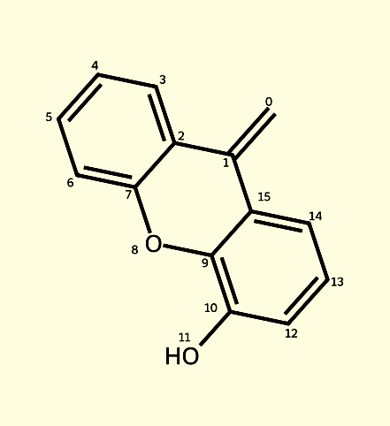 C=C1c2ccccc2Oc2c(O)cccc21